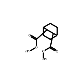 CCCOC(=O)C1C2CCC(CC2)C1C(=O)OCCC